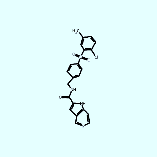 Cc1ccc(Cl)c(S(=O)(=O)c2ccc(CNC(=O)c3cc4cnccc4[nH]3)cc2)c1